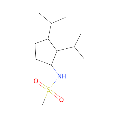 CC(C)C1CCC(NS(C)(=O)=O)C1C(C)C